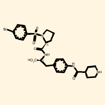 O=C(Nc1ccc(C[C@H](NC(=O)[C@@H]2CCCN2S(=O)(=O)c2ccc(Br)cc2)C(=O)O)cc1)C1CCNCC1